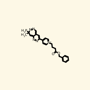 CC1(P)C=c2nnc(-c3cc[n+](CCCC(=O)OCc4ccccc4)cc3)cc2=CN=N1